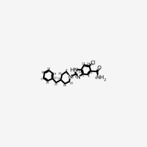 NC(=O)c1cc2nc(N3CCC(Cc4ccccc4)CC3)[nH]c2cc1Cl